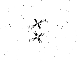 C[N+](C)(N)N.O=S(=O)([O-])O